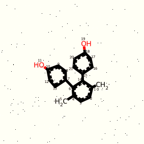 [CH2]c1ccc([CH2])c(-c2ccc(O)cc2)c1-c1ccc(O)cc1